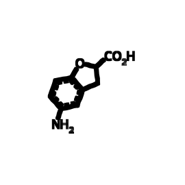 Nc1ccc2c(c1)CC(C(=O)O)O2